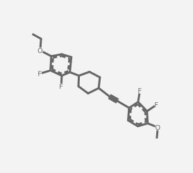 CCOc1ccc(C2CCC(C#Cc3ccc(OC)c(F)c3F)CC2)c(F)c1F